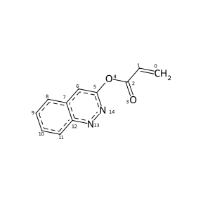 C=CC(=O)Oc1cc2ccccc2nn1